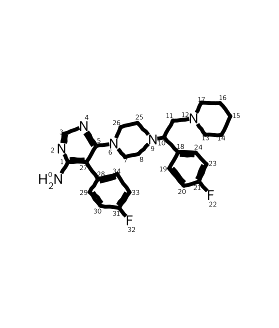 Nc1ncnc(N2CCN(C(CN3CCCCC3)c3ccc(F)cc3)CC2)c1-c1ccc(F)cc1